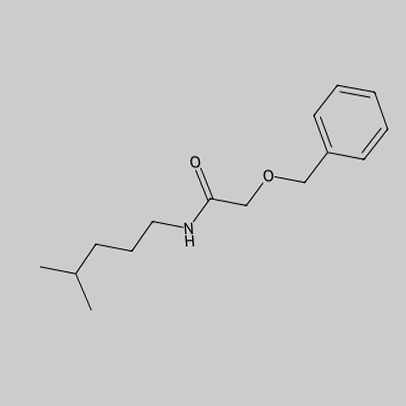 CC(C)CCCNC(=O)COCc1ccccc1